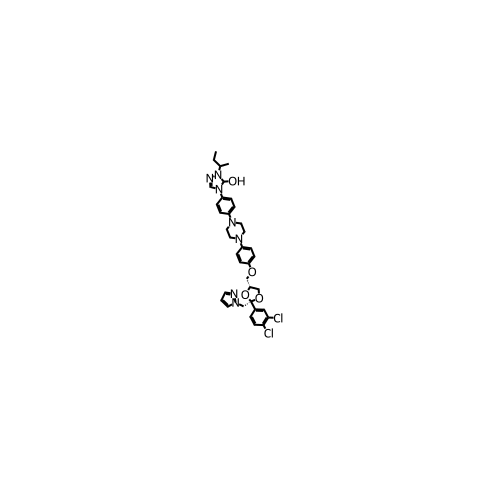 CCC(C)N1N=CN(c2ccc(N3CCN(c4ccc(OC[C@@H]5CO[C@@](Cn6cccn6)(c6ccc(Cl)c(Cl)c6)O5)cc4)CC3)cc2)C1O